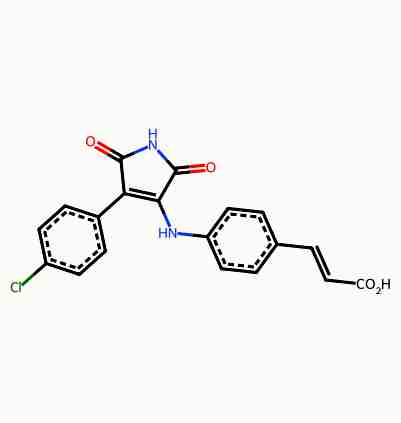 O=C(O)C=Cc1ccc(NC2=C(c3ccc(Cl)cc3)C(=O)NC2=O)cc1